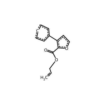 C=CCOC(=O)c1occc1-c1ccccc1